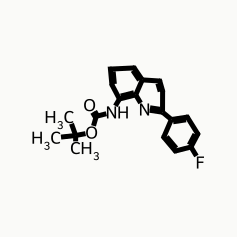 CC(C)(C)OC(=O)Nc1cccc2ccc(-c3ccc(F)cc3)nc12